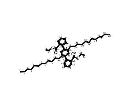 CCCCCCCCCCCCc1cc(-c2ccccc2C(=O)OCC)c(CCCCCCCCCCCC)cc1-c1ccccc1C(=O)OCC